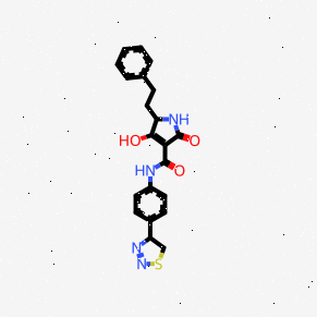 O=C(Nc1ccc(C2CSN=N2)cc1)C1=C(O)C(CCc2ccccc2)NC1=O